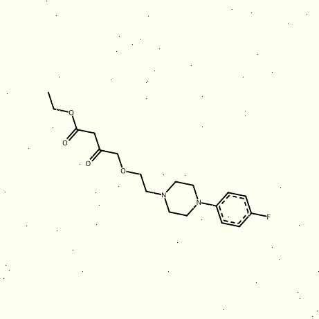 CCOC(=O)CC(=O)COCCN1CCN(c2ccc(F)cc2)CC1